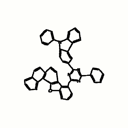 c1ccc(-c2nc(-c3ccc4c(c3)c3ccccc3n4-c3ccccc3)nc(-c3cccc4oc5c(ccc6ccc7ccccc7c65)c34)n2)cc1